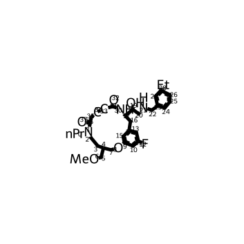 CCCN1CCC(COC)COc2cc(F)cc(c2)CC(C(O)CNCc2cccc(CC)c2)NC(=O)CCCC1=O